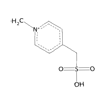 [CH2][n+]1ccc(CS(=O)(=O)O)cc1